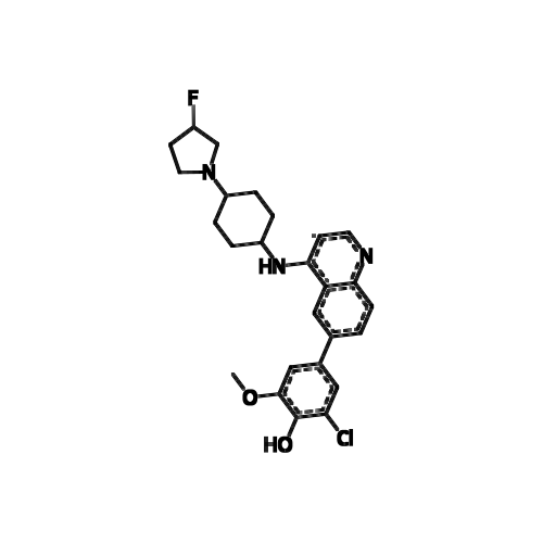 COc1cc(-c2ccc3nc[c]c(NC4CCC(N5CCC(F)C5)CC4)c3c2)cc(Cl)c1O